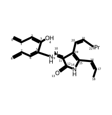 C=C/C=C(O)\C(=C/C=C)N/N=C1\C(=O)NC(/C=C\C)=C1/C=C\C(C)C